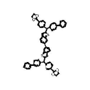 c1ccc(-c2ccc(C(c3ccc(C4OCCO4)cc3)c3cc4ccc(-c5ccc6cc(C(c7ccc(-c8ccccc8)cc7)c7ccc(C8OCCO8)cc7)sc6c5)cc4s3)cc2)cc1